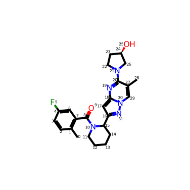 Cc1ccc(F)cc1C(=O)N1CCCCC1c1cc2nc(N3CC[C@@H](O)C3)c(C)cn2n1